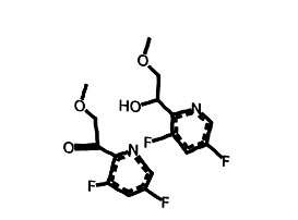 COCC(=O)c1ncc(F)cc1F.COCC(O)c1ncc(F)cc1F